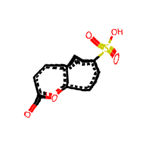 O=c1ccc2cc(S(=O)(=O)O)ccc2o1